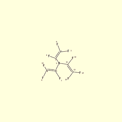 FC(F)=C(F)B(C(F)=C(F)F)C(F)=C(F)F